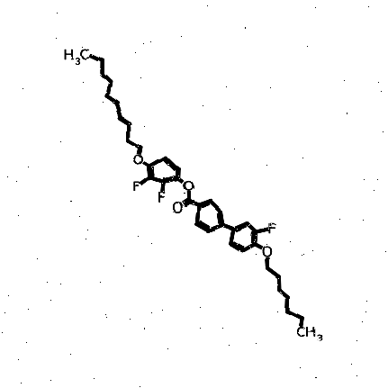 CCCCCCCCCCOc1ccc(OC(=O)c2ccc(-c3ccc(OCCCCCCC)c(F)c3)cc2)c(F)c1F